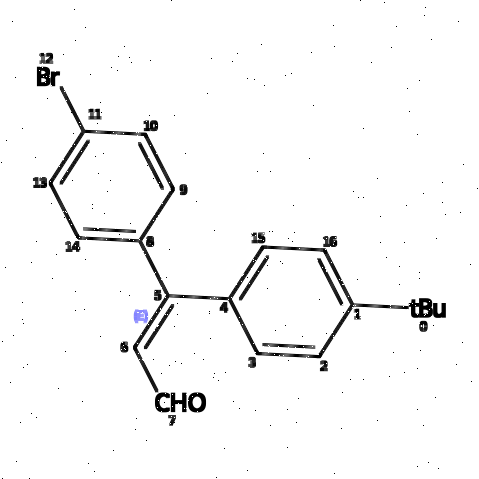 CC(C)(C)c1ccc(/C(=C\C=O)c2ccc(Br)cc2)cc1